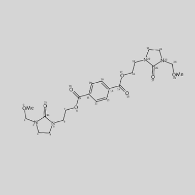 COCN1CCN(CCOC(=O)c2ccc(C(=O)OCCN3CCN(COC)C3=O)cc2)C1=O